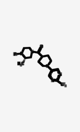 CC(C)N1CCN(C(=O)C2CCN(c3cnc(C(F)(F)F)nc3)CC2)C[C@@H]1C